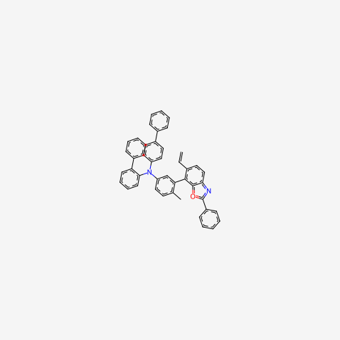 C=Cc1ccc2nc(-c3ccccc3)oc2c1-c1cc(N(c2ccc(-c3ccccc3)cc2)c2ccccc2-c2ccccc2)ccc1C